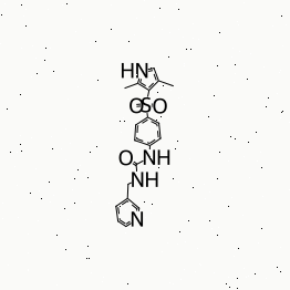 Cc1c[nH]c(C)c1S(=O)(=O)c1ccc(NC(=O)NCc2cccnc2)cc1